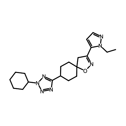 CCn1nccc1C1=NOC2(CCC(c3nnn(C4CCCCC4)n3)CC2)C1